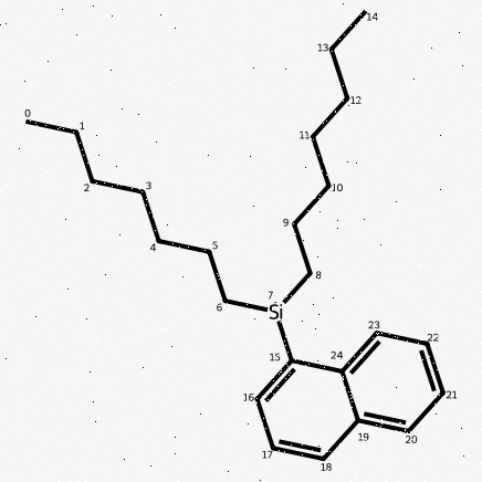 CCCCCCC[Si](CCCCCCC)c1cccc2ccccc12